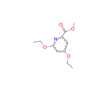 CCOc1cc(OCC)nc(C(=O)OC)c1